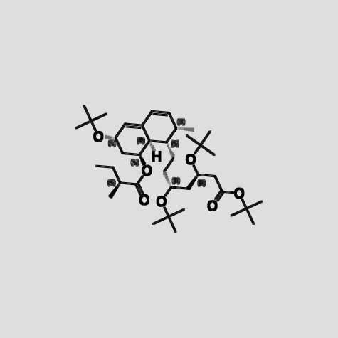 CC[C@H](C)C(=O)O[C@H]1C[C@H](OC(C)(C)C)C=C2C=C[C@H](C)[C@H](CC[C@H](C[C@H](CC(=O)OC(C)(C)C)OC(C)(C)C)OC(C)(C)C)[C@H]21